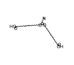 CN(C)CCCc1cc(OCCCCCCCCCC=CCC=CCCCCCCCC(=O)O)cc(OCCCCCCCCCC=CCC=CCCCCCCCC(=O)O)c1